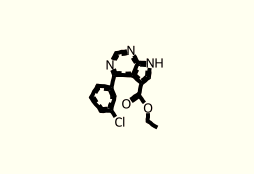 CCOC(=O)c1c[nH]c2ncnc(-c3cccc(Cl)c3)c12